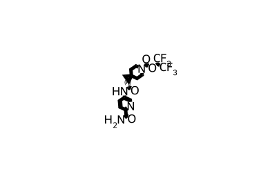 NC(=O)c1ccc(NC(=O)[C@@H]2CC23CCN(C(=O)OC(C(F)(F)F)C(F)(F)F)CC3)cn1